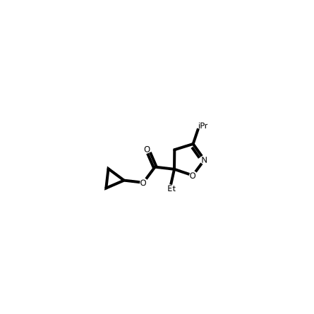 CCC1(C(=O)OC2CC2)CC(C(C)C)=NO1